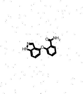 NC(=O)c1ccccc1Oc1cccc2[nH]ncc12